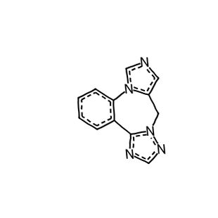 c1ccc2c(c1)-c1ncnn1Cc1cncn1-2